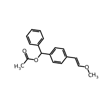 COC=Cc1ccc(C(OC(C)=O)c2ccccc2)cc1